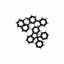 c1ccc(C2(c3ccccc3)c3ccccc3-c3ccc(-c4ccccc4-c4ccc5c(c4)-c4cccc6cccc(c46)S5)cc32)cc1